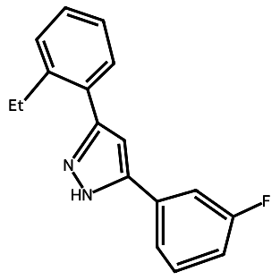 CCc1ccccc1-c1cc(-c2cccc(F)c2)[nH]n1